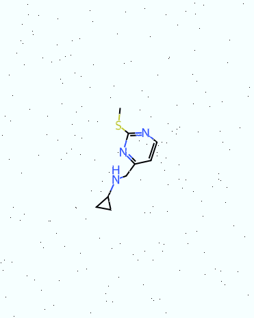 CSc1nccc(CNC2CC2)n1